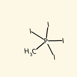 CP(I)(I)(I)I